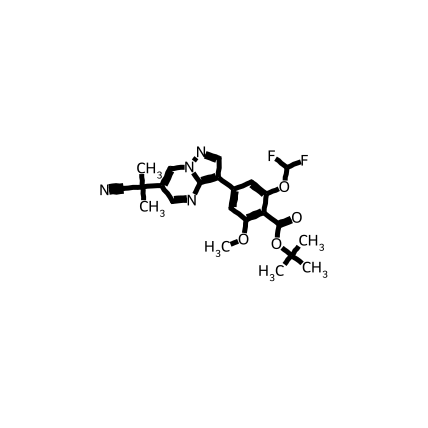 COc1cc(-c2cnn3cc(C(C)(C)C#N)cnc23)cc(OC(F)F)c1C(=O)OC(C)(C)C